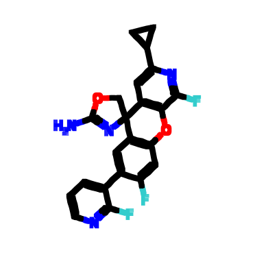 NC1=NC2(CO1)c1cc(-c3cccnc3F)c(F)cc1Oc1c2cc(C2CC2)nc1F